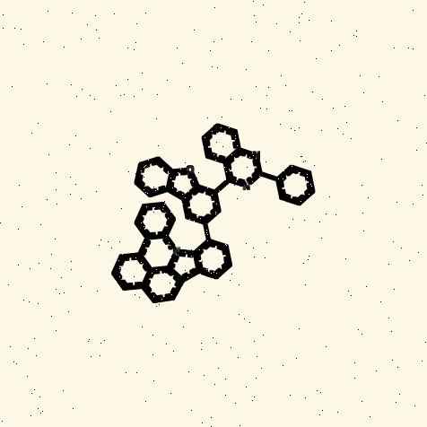 c1ccc(-c2nc(-c3cc(-c4cccc5c6ccc7cccc8c9ccccc9n(c45)c6c78)cc4c3oc3ccccc34)c3ccccc3n2)cc1